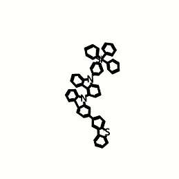 c1ccc([Si](c2ccccc2)(c2ccccc2)c2ccc(-n3c4ccccc4c4c(-n5c6ccccc6c6ccc(-c7ccc8sc9ccccc9c8c7)cc65)cccc43)cc2)cc1